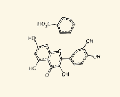 O=C(O)c1ccccc1.O=c1c(O)c(-c2ccc(O)c(O)c2)oc2cc(O)cc(O)c12